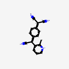 Cc1ncccc1C(C#N)=c1ccc(=C(C#N)C#N)cc1